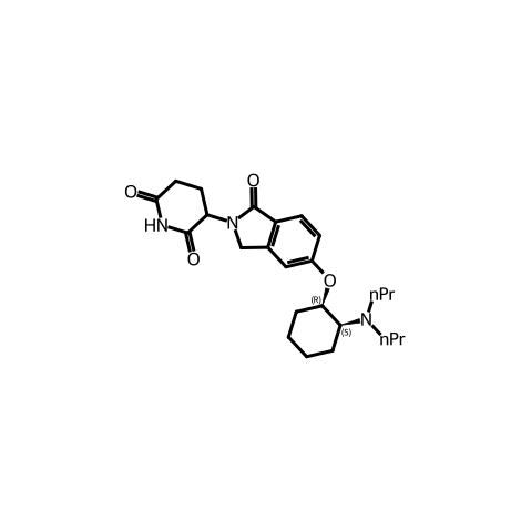 CCCN(CCC)[C@H]1CCCC[C@H]1Oc1ccc2c(c1)CN(C1CCC(=O)NC1=O)C2=O